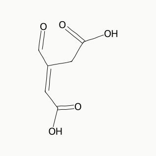 O=C/C(=C/C(=O)O)CC(=O)O